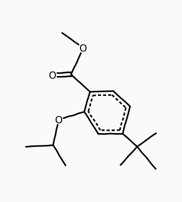 COC(=O)c1ccc(C(C)(C)C)cc1OC(C)C